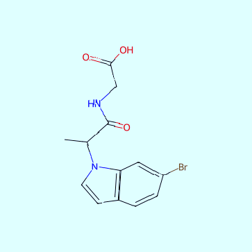 CC(C(=O)NCC(=O)O)n1ccc2ccc(Br)cc21